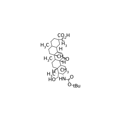 CC(C)(C)OC(=O)N[C@H]1CC[C@@]2(C)[C@@H](CC[C@]3(C)[C@@H]2C(=O)C=C2[C@@H]4C[C@@](C)(C(=O)O)CC[C@]4(C)CC[C@]23C)[C@]1(C)CO